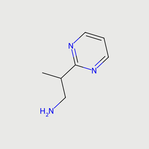 CC(CN)c1ncccn1